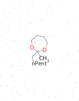 CCCCCCC1(C)OCCCCO1